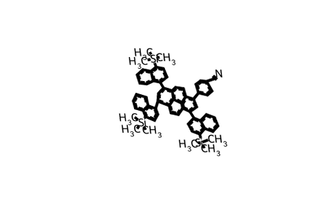 C[Si](C)(C)c1ccc(-c2cc(-c3ccc(C#N)cc3)c3ccc4c(-c5ccc([Si](C)(C)C)c6ccccc56)cc(-c5ccc([Si](C)(C)C)c6ccccc56)c5ccc2c3c45)c2ccccc12